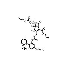 C=CCOC(=O)O[C@H](C)[C@H]1C(=O)C2C(C(=O)OCC=C)=C(CSC(=S)Oc3cc(CCCCC)cc(O)c3[C@@H]3C=C(C)CC[C@H]3C(=C)C)[C@H](C)[C@@H]21